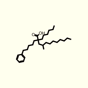 CCCCCCCCC(C)CC(CCCCCC)(CCCCCc1ccccc1)C(=O)O